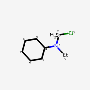 CCN([SiH2]Cl)C1CCCCC1